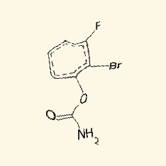 NC(=O)Oc1cccc(F)c1Br